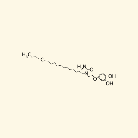 CCCCCCCCCCCCCCCCCCN(CCOc1ccc(O)c(O)c1)C(N)=O